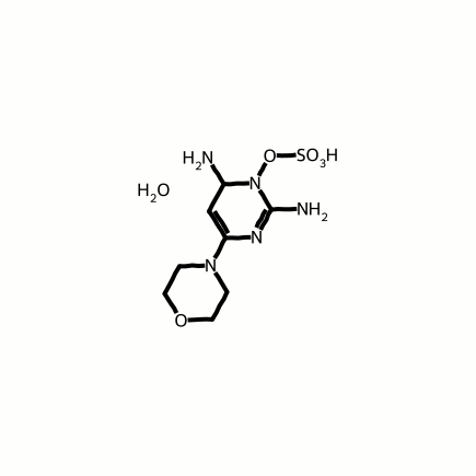 NC1=NC(N2CCOCC2)=CC(N)N1OS(=O)(=O)O.O